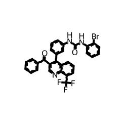 O=C(Nc1cccc(-c2c(C(=O)c3ccccc3)cnc3c(C(F)(F)F)cccc23)c1)Nc1ccccc1Br